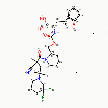 CC(C#N)(CC(C)(C)N1CCCC(F)(F)C1)C(=O)N1CCCC[C@@H]1COC(=O)N[C@@H](Cc1coc2ccccc12)B(O)O